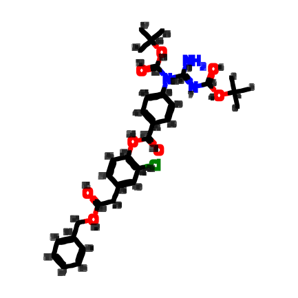 CC(C)(C)OC(=O)N=C(N)N(C(=O)OC(C)(C)C)c1ccc(C(=O)Oc2ccc(CC(=O)OCc3ccccc3)cc2Cl)cc1